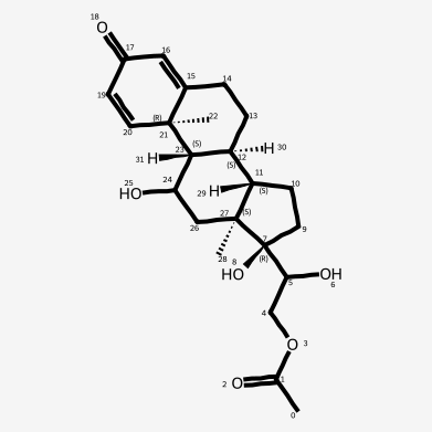 CC(=O)OCC(O)[C@@]1(O)CC[C@H]2[C@@H]3CCC4=CC(=O)C=C[C@]4(C)[C@H]3C(O)C[C@@]21C